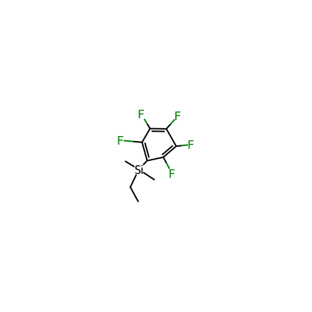 CC[Si](C)(C)c1c(F)c(F)c(F)c(F)c1F